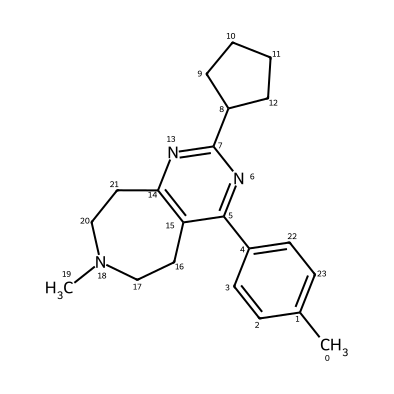 Cc1ccc(-c2nc(C3CCCC3)nc3c2CCN(C)CC3)cc1